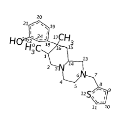 CC1CN2CCN(Cc3cccs3)CC2CC1(C)c1cccc(O)c1